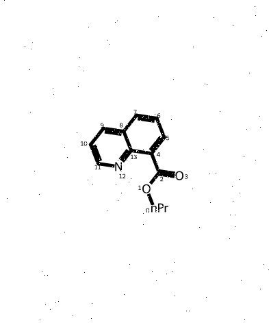 CCCOC(=O)c1cccc2cccnc12